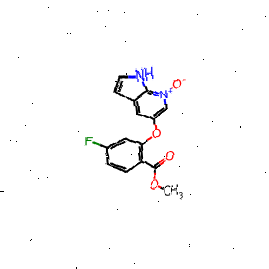 COC(=O)c1ccc(F)cc1Oc1cc2cc[nH]c2[n+]([O-])c1